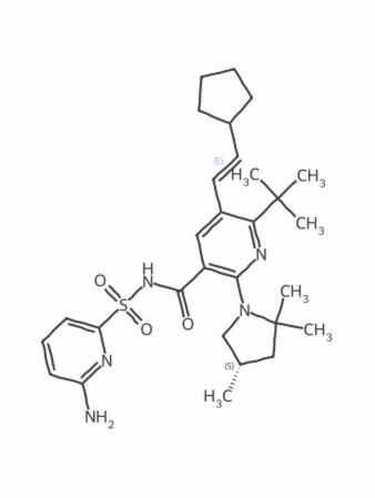 C[C@@H]1CN(c2nc(C(C)(C)C)c(/C=C/C3CCCC3)cc2C(=O)NS(=O)(=O)c2cccc(N)n2)C(C)(C)C1